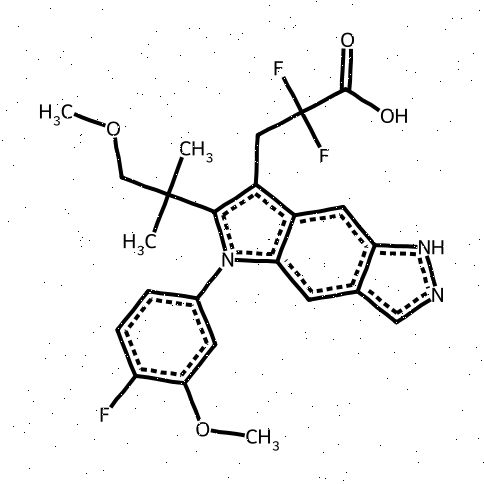 COCC(C)(C)c1c(CC(F)(F)C(=O)O)c2cc3[nH]ncc3cc2n1-c1ccc(F)c(OC)c1